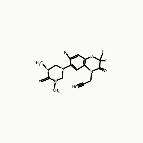 C#CCN1C(=O)C(F)(F)Oc2cc(F)c(N3CN(C)C(=S)N(C)C3)cc21